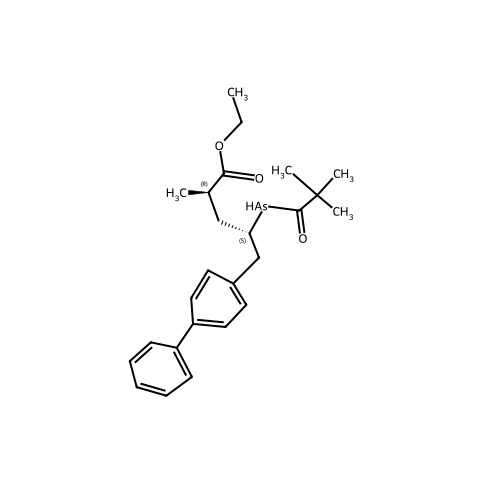 CCOC(=O)[C@H](C)C[C@@H](Cc1ccc(-c2ccccc2)cc1)[AsH]C(=O)C(C)(C)C